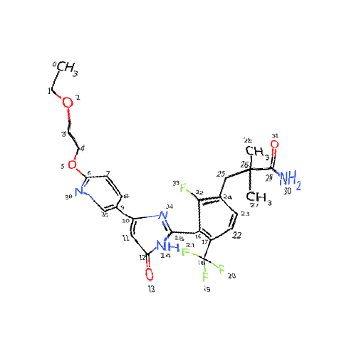 CCOCCOc1ccc(-c2cc(=O)[nH]c(-c3c(C(F)(F)F)ccc(CC(C)(C)C(N)=O)c3F)n2)cn1